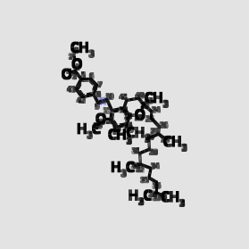 CCOC(=O)c1ccc(/C=C/c2c3c(c(C)c(C)c2OC)OC(C)(CCCC(C)CCCC(C)CCCC(C)C)CC3)cc1